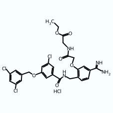 CCOC(=O)CNC(=O)COc1cc(C(=N)N)ccc1CNC(=O)c1cc(Cl)cc(OCc2cc(Cl)cc(Cl)c2)c1.Cl